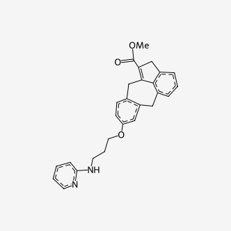 COC(=O)C1=C2Cc3ccc(OCCCNc4ccccn4)cc3Cc3cccc(c32)C1